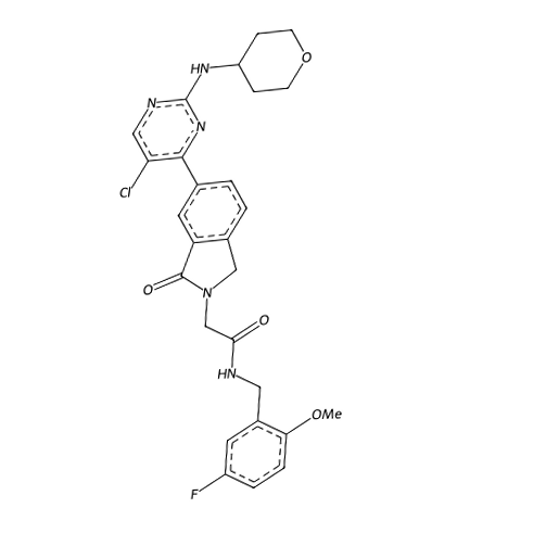 COc1ccc(F)cc1CNC(=O)CN1Cc2ccc(-c3nc(NC4CCOCC4)ncc3Cl)cc2C1=O